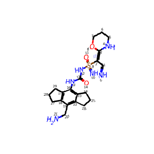 N=C/C(=C1\NCCCO1)S(=N)(=O)NC(=O)Nc1c2c(c(CN)c3c1CCC3)CCC2